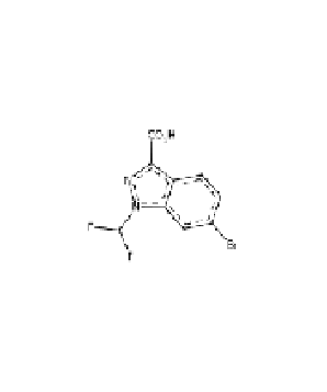 O=C(O)c1nn(C(F)F)c2cc(Br)ccc12